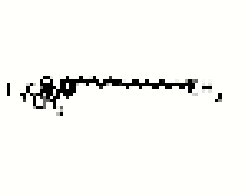 C=C(C)C(=O)Oc1ccc(CCCCCCCCCCCCCCCCCC)cc1